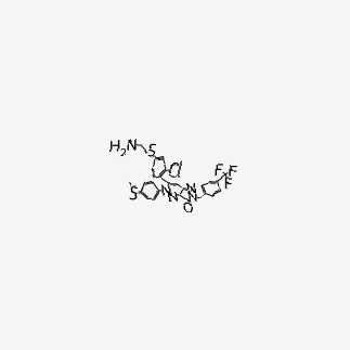 CSc1ccc(-n2nc3c(=O)n(Cc4ccc(C(F)(F)F)cc4)nc-3cc2-c2ccc(SCCN)cc2Cl)cc1